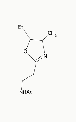 CCC1OC(CCNC(C)=O)=NC1C